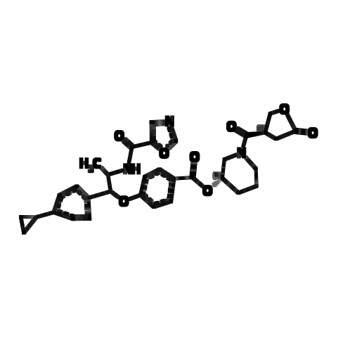 CC(NC(=O)c1cnco1)C(Oc1ccc(C(=O)O[C@H]2CCCN(C(=O)[C@H]3COC(=O)C3)C2)cc1)c1ccc(C2CC2)cc1